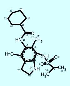 Cc1c2c(c(NS(=O)(=O)C(C)C)c(C)c1NC(=O)C1CCCCC1)NCC2